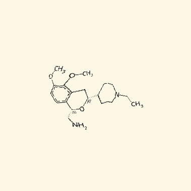 CCN1CCC([C@H]2Cc3c(ccc(OC)c3OC)[C@@H](CN)O2)CC1